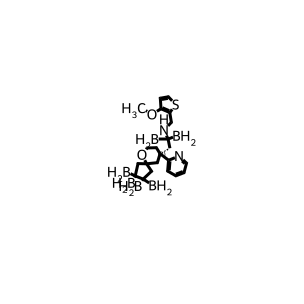 BC(B)(C[C@@]1(c2ccccn2)CCOC2(CC(B)(B)C(B)(B)C2)C1)NCc1sccc1OC